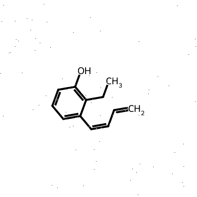 C=C/C=C\c1cccc(O)c1CC